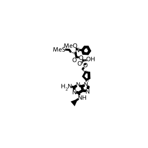 CON(c1ccccc1)[C@@H](CCSC)C(=O)OP(=O)(O)OC[C@@H]1C=C[C@H](n2cnc3c(NC4CC4)nc(N)nc32)C1